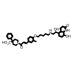 Cc1cc(/C=C/C(=O)N2CCC(C(=O)O)(c3ccccc3)CC2)ccc1OCCCCCNC[C@H](O)c1ccc(O)c2[nH]c(=O)ccc12